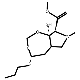 C=C(OC)[C@H]1N(C)CC2C[C@H](CCCC)CCO[C@]21S